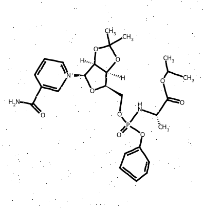 CC(C)OC(=O)[C@H](C)NP(=O)(OC[C@H]1O[C@@H]([n+]2cccc(C(N)=O)c2)[C@H]2OC(C)(C)O[C@H]21)Oc1ccccc1